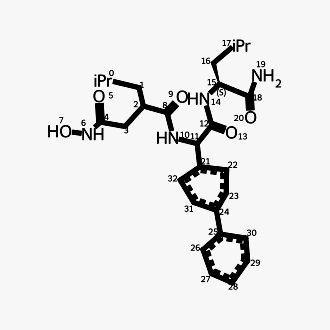 CC(C)CC(CC(=O)NO)C(=O)NC(C(=O)N[C@@H](CC(C)C)C(N)=O)c1ccc(-c2ccccc2)cc1